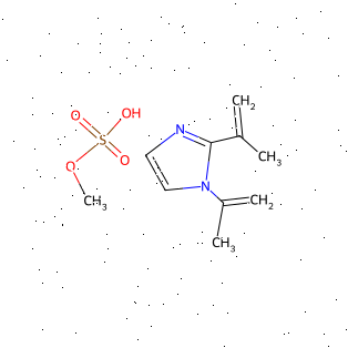 C=C(C)c1nccn1C(=C)C.COS(=O)(=O)O